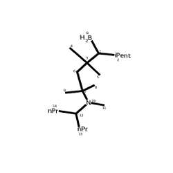 BC(C(C)CCC)C(C)(C)CC(C)(C)N(C)C(CCC)CCC